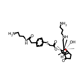 C[C@@H]1CC[C@@]23CCC(=O)[C@H]2[C@]1(C)[C@H](OC(=O)CSc1ccc(CC(=O)NCCCN)cc1)C[C@](C)(CNCCCN)[C@@H](O)[C@@H]3C